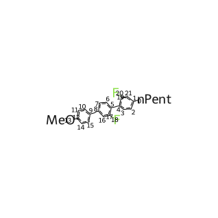 CCCCCc1ccc(-c2ccc(-c3ccc(OC)cc3)cc2F)c(F)c1